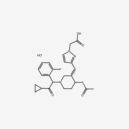 CC(=O)SC1CCN(C(C(=O)C2CC2)c2ccccc2F)C/C1=C\c1ccn(CC(=O)O)n1.Cl